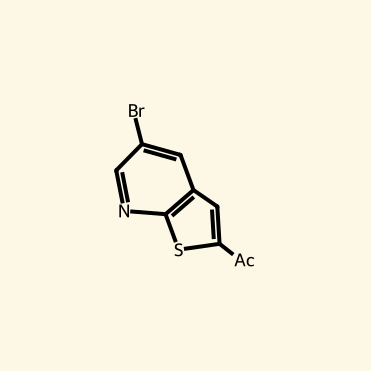 CC(=O)c1cc2cc(Br)cnc2s1